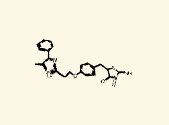 Cc1oc(CCOc2ccc(CC3SC(=N)NC3=O)cc2)nc1-c1ccccc1